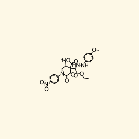 CCOC(=O)C(NNc1ccc(OC)cc1)C1(C(=O)O)C(=O)C(=O)N(c2ccc([N+](=O)[O-])cc2)CC1CC